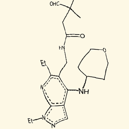 CCc1nc2c(cnn2CC)c(NC2CCOCC2)c1CNC(=O)CC(C)(C)C=O